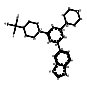 FC(F)(F)C1CCN(c2nc(-c3ccc4ncsc4c3)nc(N3CCOCC3)n2)CC1